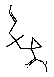 CC=CCC(C)(C)CC1(C(=O)OC)CC1